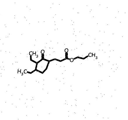 CCCOC(=O)CCC1CCC(CC)C(CC)C1=O